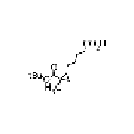 CC(C)(C)OC(=O)[C@@]1(C)C[C@@H]1CCCCC(=O)O